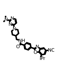 [C-]#[N+]c1cc(C(C)C)c2oc(-c3ccc(C(=O)NCC4CCN(c5ccnc(N(C)C)n5)CC4)cc3)nc2c1